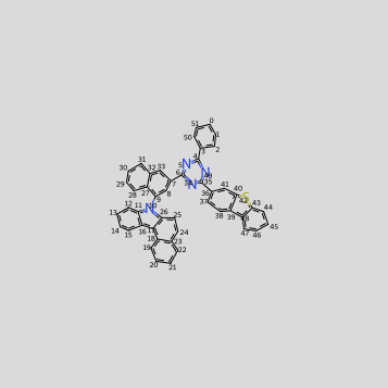 c1ccc(-c2nc(-c3cc(-n4c5ccccc5c5c6ccccc6ccc54)c4ccccc4c3)nc(-c3ccc4c(c3)sc3ccccc34)n2)cc1